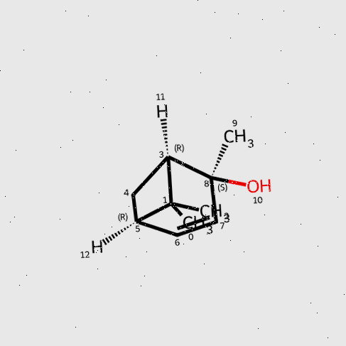 CC1(C)[C@H]2C[C@@H]1C=C[C@]2(C)O